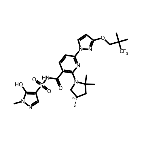 C[C@@H]1CN(c2nc(-n3ccc(OCC(C)(C)C(F)(F)F)n3)ccc2C(=O)NS(=O)(=O)c2cnn(C)c2O)C(C)(C)C1